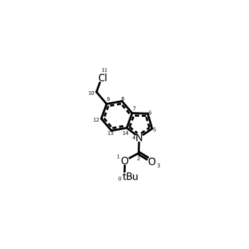 CC(C)(C)OC(=O)n1ccc2cc(CCl)ccc21